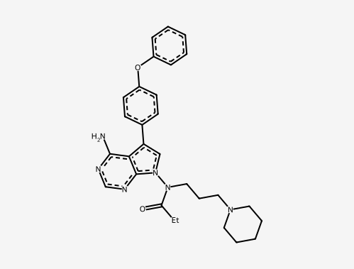 CCC(=O)N(CCCN1CCCCC1)n1cc(-c2ccc(Oc3ccccc3)cc2)c2c(N)ncnc21